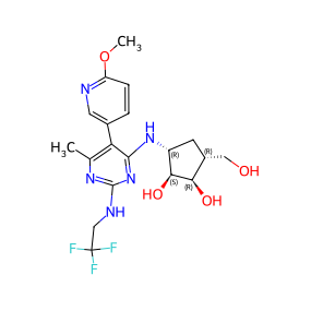 COc1ccc(-c2c(C)nc(NCC(F)(F)F)nc2N[C@@H]2C[C@H](CO)[C@@H](O)[C@H]2O)cn1